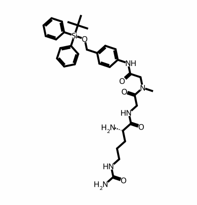 CN(CC(=O)Nc1ccc(CO[Si](c2ccccc2)(c2ccccc2)C(C)(C)C)cc1)C(=O)CNC(=O)[C@@H](N)CCCNC(N)=O